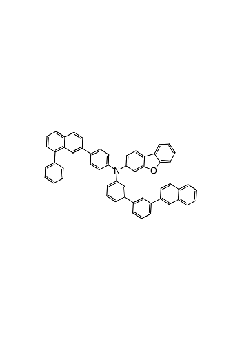 c1ccc(-c2cccc3ccc(-c4ccc(N(c5cccc(-c6cccc(-c7ccc8ccccc8c7)c6)c5)c5ccc6c(c5)oc5ccccc56)cc4)cc23)cc1